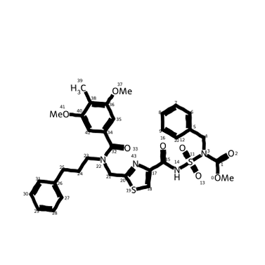 COC(=O)N(Cc1ccccc1)S(=O)(=O)NC(=O)c1csc(CN(CCCc2ccccc2)C(=O)c2cc(OC)c(C)c(OC)c2)n1